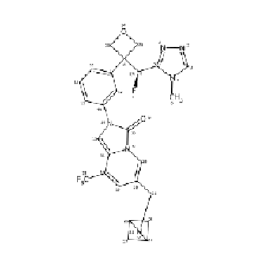 Cn1cnnc1[C@@H](F)C1(c2cccc(-n3cc4c(C(F)(F)F)cc(CN5CC6CC5C6)cn4c3=O)c2)COC1